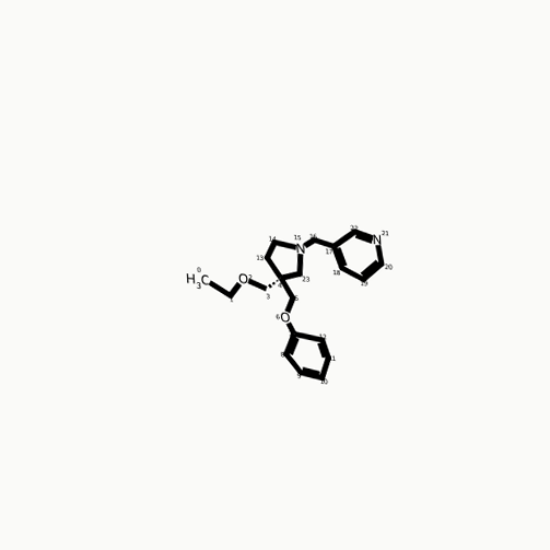 CCOC[C@]1(COc2ccccc2)CCN(Cc2cccnc2)C1